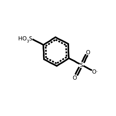 [O]S(=O)(=O)c1ccc(S(=O)(=O)O)cc1